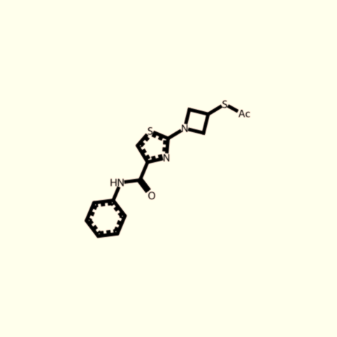 CC(=O)SC1CN(c2nc(C(=O)Nc3ccccc3)cs2)C1